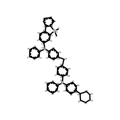 C[Si]1(C)c2ccccc2-c2ccc(N(c3ccccc3)c3ccc(Cc4ccc(N(c5ccccc5)c5ccc(C6CCCCC6)cc5)cc4)cc3)cc21